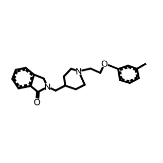 Cc1cccc(OCCN2CCC(CN3Cc4ccccc4C3=O)CC2)c1